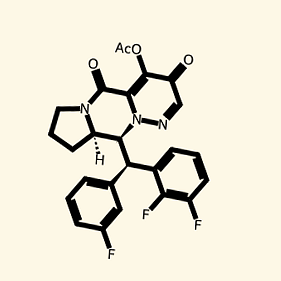 CC(=O)Oc1c2n(ncc1=O)[C@@H]([C@H](c1cccc(F)c1)c1cccc(F)c1F)[C@H]1CCCN1C2=O